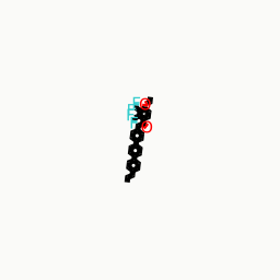 CCCC1CCC(C2CCC(C3CCC(CC(=O)c4ccc(OCC)c(C(F)F)c4C(F)F)CC3)CC2)CC1